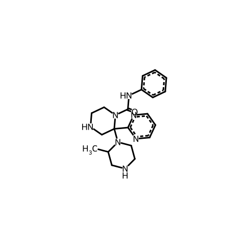 CC1CNCCN1C1(c2ncccn2)CNCCN1C(=O)Nc1ccccc1